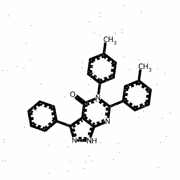 Cc1ccc(-n2c(-c3cccc(C)c3)nc3[nH]nc(-c4ccccc4)c3c2=O)cc1